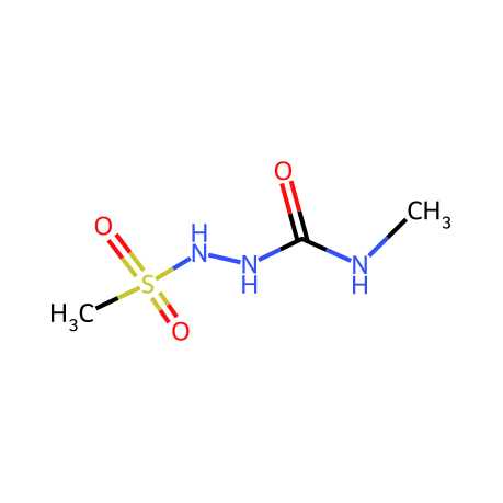 CNC(=O)NNS(C)(=O)=O